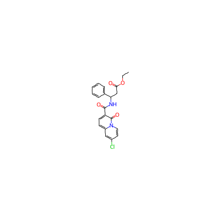 CCOC(=O)CC(NC(=O)c1ccc2cc(Cl)ccn2c1=O)c1ccccc1